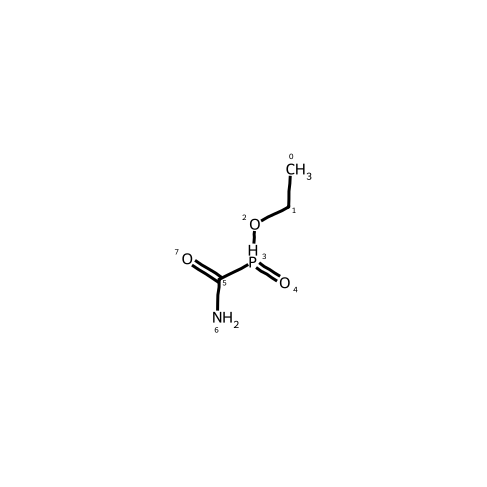 CCO[PH](=O)C(N)=O